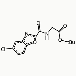 CC(C)(C)OC(=O)CNC(=O)c1nc2cc(Cl)ccc2o1